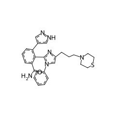 NC(=O)c1cccc(-c2cn[nH]c2)c1-c1nc(CCCN2CCSCC2)cn1-c1ccccc1